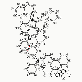 CC1(C)c2ccccc2-c2ccc(N(c3ccccc3)c3cccc(-c4ccccc4N(c4ccccc4)c4cccc5c4c4ccc6c7ccccc7sc6c4n5-c4cccc5ccccc45)c3)c3cccc1c23